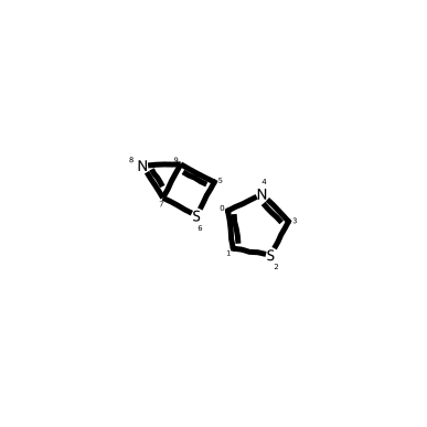 c1cscn1.c1sc2nc1-2